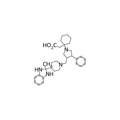 CC1(C2CCN(CC3CN(C4(CC(=O)O)CCCCC4)CC3c3ccccc3)CC2)Nc2ccccc2N1